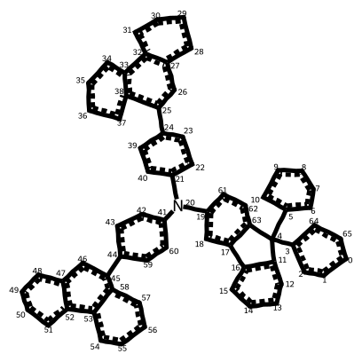 c1ccc(C2(c3ccccc3)c3ccccc3-c3cc(N(c4ccc(-c5cc6ccccc6c6ccccc56)cc4)c4ccc(-c5cc6ccccc6c6ccccc56)cc4)ccc32)cc1